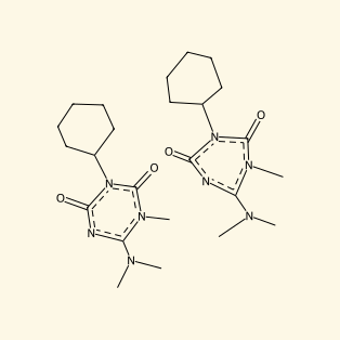 CN(C)c1nc(=O)n(C2CCCCC2)c(=O)n1C.CN(C)c1nc(=O)n(C2CCCCC2)c(=O)n1C